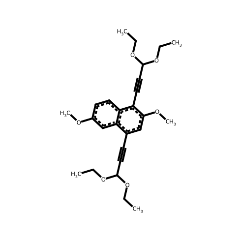 CCOC(C#Cc1cc(OC)c(C#CC(OCC)OCC)c2ccc(OC)cc12)OCC